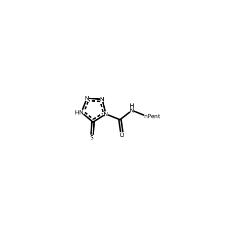 CCCCCNC(=O)n1nn[nH]c1=S